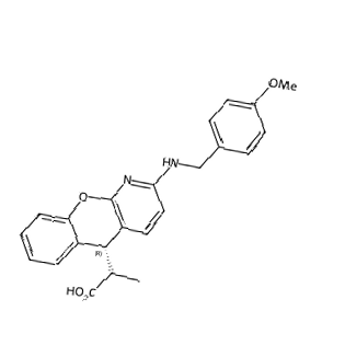 COc1ccc(CNc2ccc3c(n2)Oc2ccccc2[C@H]3C(C)C(=O)O)cc1